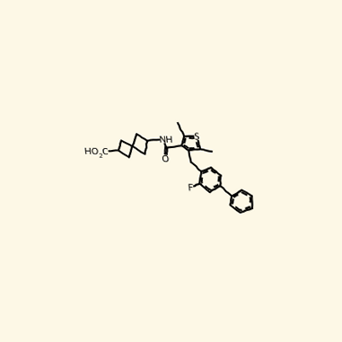 Cc1sc(C)c(C(=O)NC2CC3(C2)CC(C(=O)O)C3)c1Cc1ccc(-c2ccccc2)cc1F